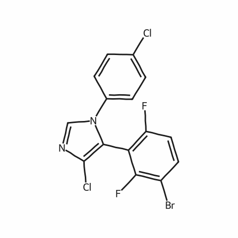 Fc1ccc(Br)c(F)c1-c1c(Cl)ncn1-c1ccc(Cl)cc1